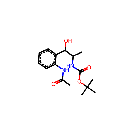 CC(=O)Nc1ccccc1C(O)C(C)NC(=O)OC(C)(C)C